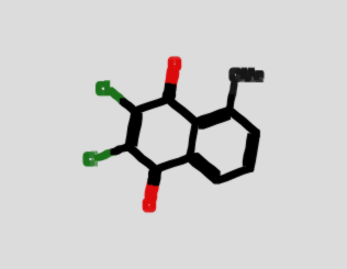 COc1cccc2c1C(=O)C(Cl)=C(Cl)C2=O